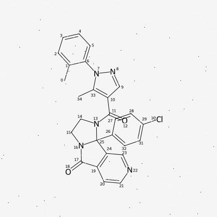 Cc1ccccc1-n1ncc(C(=O)N2CCN3C(=O)c4ccncc4C32c2ccc(Cl)cc2)c1C